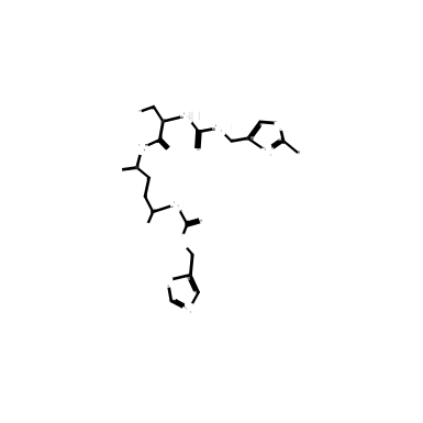 CCC(CCC(CC)NC(=O)C(CO)NC(=O)NCc1csc(C(C)C)n1)NC(=O)OCc1cncs1